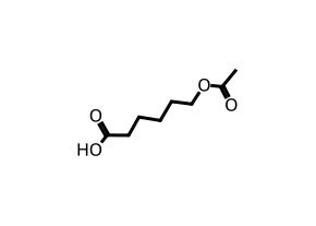 CC(=O)OCCCCCC(=O)O